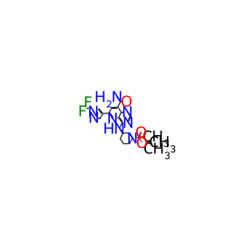 CC(C)(C)OC(=O)N1CCC[C@H](Nc2ncnc3c(C(N)=O)cc(-c4cnn(C(F)F)c4)nc23)C1